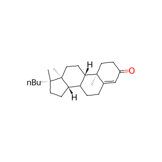 CCCC[C@@]1(C)CC[C@H]2C3CCC4=CC(=O)CC[C@]4(C)[C@H]3CC[C@@]21C